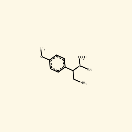 CC(C)(C)N(C(=O)O)C(CN)c1ccc(OC(F)(F)F)cc1